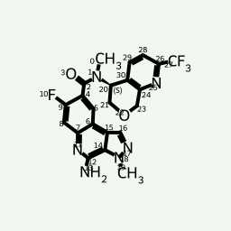 CN(C(=O)c1cc2c(cc1F)nc(N)c1c2cnn1C)[C@@H]1COCc2nc(C(F)(F)F)ccc21